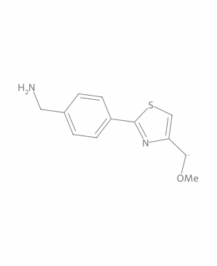 CO[CH]c1csc(-c2ccc(CN)cc2)n1